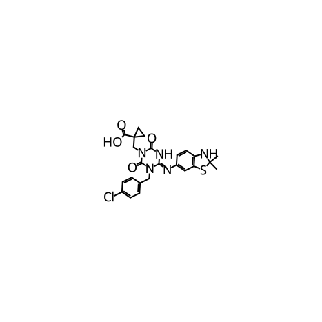 CC1(C)Nc2ccc(/N=c3\[nH]c(=O)n(CC4(C(=O)O)CC4)c(=O)n3Cc3ccc(Cl)cc3)cc2S1